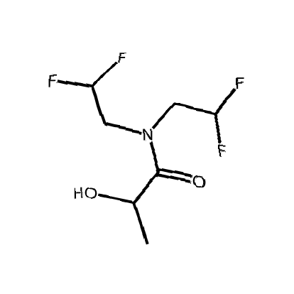 CC(O)C(=O)N(CC(F)F)CC(F)F